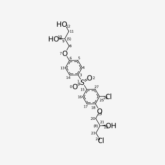 O=S(=O)(c1ccc(OC[C@@H](O)CO)cc1)c1ccc(OC[C@@H](O)CCl)c(Cl)c1